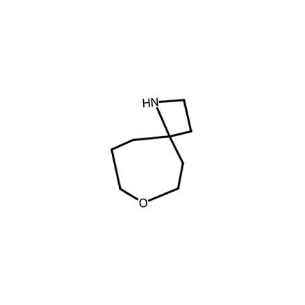 C1COCCC2(C1)CCN2